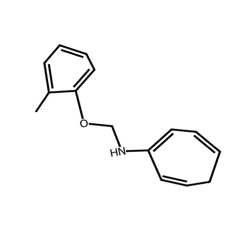 Cc1ccccc1OCNC1=CC=CCC=C1